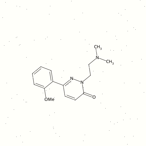 COc1ccccc1-c1ccc(=O)n(CCN(C)C)n1